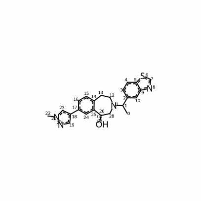 CC(c1ccc2scnc2c1)N1CCc2ccc(-c3cnn(C)c3)cc2[C@H](O)C1